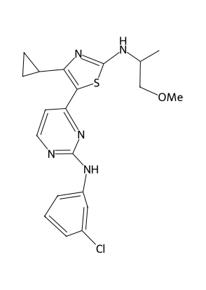 COCC(C)Nc1nc(C2CC2)c(-c2ccnc(Nc3cccc(Cl)c3)n2)s1